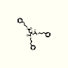 O=C(CC(O)(CC(=O)OCCCc1ccccc1)C(=O)OCCCc1ccccc1)OCCCc1ccccc1